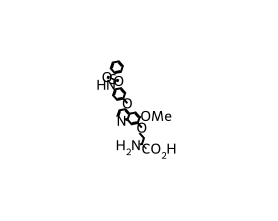 COc1cc2c(Oc3ccc(NS(=O)(=O)c4ccccc4)cc3)ccnc2cc1OCC[C@H](N)C(=O)O